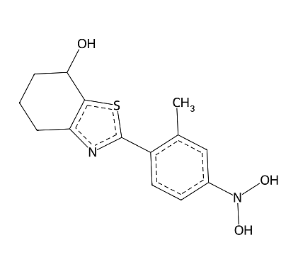 Cc1cc(N(O)O)ccc1-c1nc2c(s1)C(O)CCC2